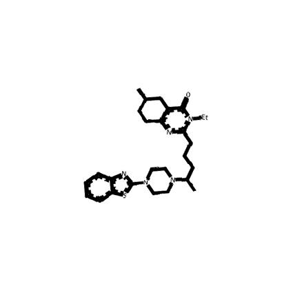 CCn1c(CCCC(C)N2CCN(c3nc4ccccc4s3)CC2)nc2c(c1=O)CC(C)CC2